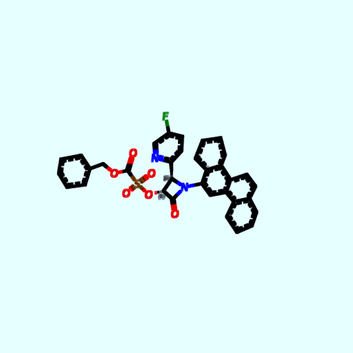 O=C1[C@H](OS(=O)(=O)C(=O)OCc2ccccc2)[C@@H](c2ccc(F)cn2)N1c1cc2c3ccccc3ccc2c2ccccc12